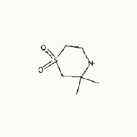 CC1(C)CS(=O)(=O)CC[N]1